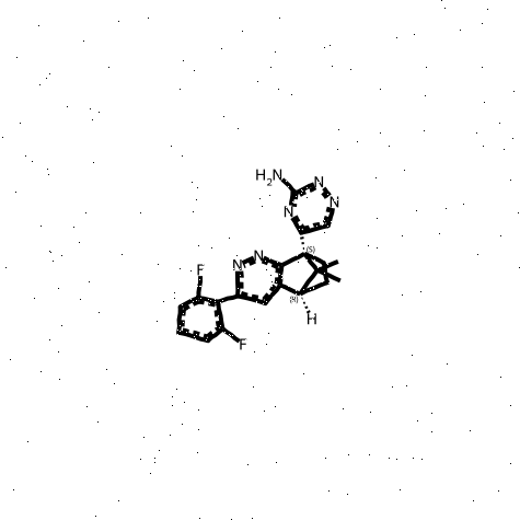 CC1(C)[C@H]2CC[C@]1(c1cnnc(N)n1)c1nnc(-c3c(F)cccc3F)cc12